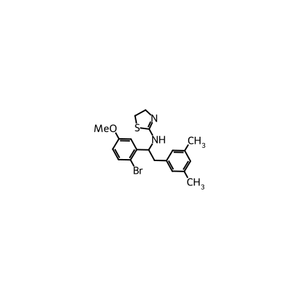 COc1ccc(Br)c(C(Cc2cc(C)cc(C)c2)NC2=NCCS2)c1